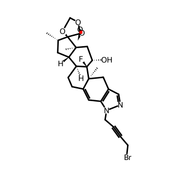 C[C@H]1C[C@H]2[C@@H]3CCC4=Cc5c(cnn5CC#CCBr)C[C@]4(C)[C@@]3(F)[C@@H](O)C[C@]2(C)[C@]12OCOC21COCO1